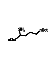 CCCCCCCCCCCC([SiH3])CCCCCCCC